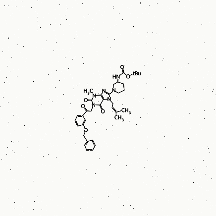 CC(C)=CCn1c(N2CCCC(NC(=O)OC(C)(C)C)C2)nc2c1c(=O)n(CC(=O)c1cccc(OCc3ccccc3)c1)c(=O)n2C